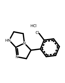 Cl.Clc1ccccc1C1CN=C2NCCN21